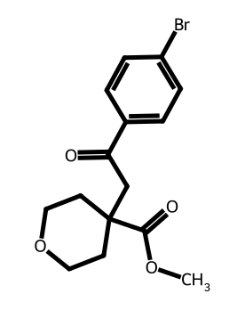 COC(=O)C1(CC(=O)c2ccc(Br)cc2)CCOCC1